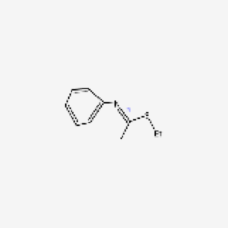 CCS/C(C)=N/c1ccccc1